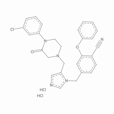 Cl.Cl.N#Cc1ccc(Cn2cncc2CN2CCN(c3cccc(Cl)c3)C(=O)C2)cc1Oc1ccccc1